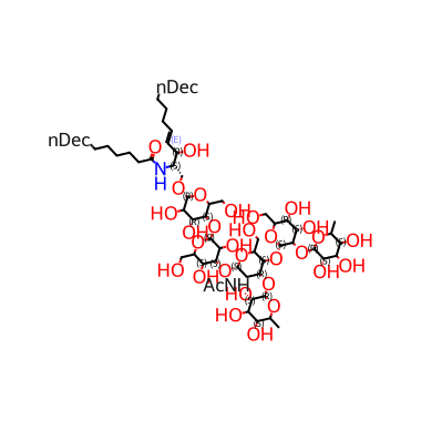 CCCCCCCCCCCCC/C=C/[C@@H](O)[C@H](CO[C@@H]1OC(CO)[C@@H](O[C@@H]2OC(CO)[C@H](O)[C@H](O[C@@H]3OC(CO)[C@@H](O[C@@H]4OC(CO)[C@H](O)[C@H](O)C4O[C@H]4OC(C)[C@@H](O)C(O)[C@@H]4O)[C@H](O[C@H]4OC(C)[C@@H](O)C(O)[C@@H]4O)C3NC(C)=O)C2O)[C@H](O)C1O)NC(=O)CCCCCCCCCCCCCCC